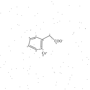 O=C([O-])Cc1ccccc1.[Cs+]